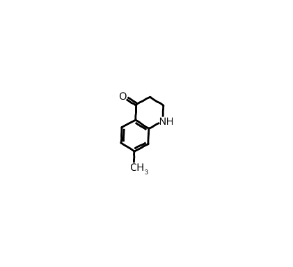 Cc1ccc2c(c1)NCCC2=O